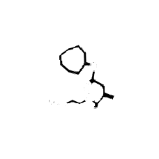 C=C(CC(=O)OC1CCCCCCC1)C(=O)OCCSC